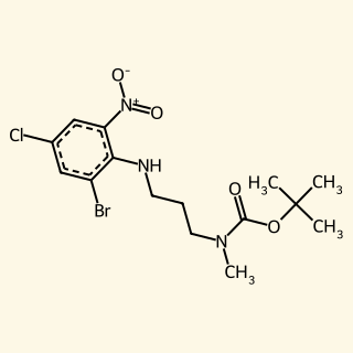 CN(CCCNc1c(Br)cc(Cl)cc1[N+](=O)[O-])C(=O)OC(C)(C)C